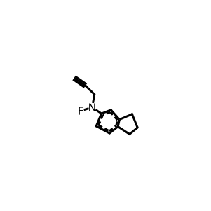 C#CCN(F)c1ccc2c(c1)CCC2